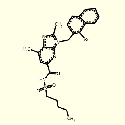 CCCCCS(=O)(=O)NC(=O)c1cc(C)c2nc(C)n(Cc3ccc4ccccc4c3Br)c2n1